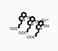 O=C([O-])C=CCc1ccc2cccc(O)c2n1.O=C([O-])C=CCc1ccc2cccc(O)c2n1.O=C([O-])C=CCc1ccc2cccc(O)c2n1.[Eu+3]